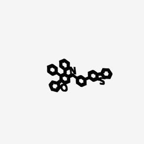 c1ccc(-c2c3c(cc4c(-c5cccc(-c6ccc7c(c6)sc6ccccc67)c5)nc5ccccc5c24)oc2ccccc23)cc1